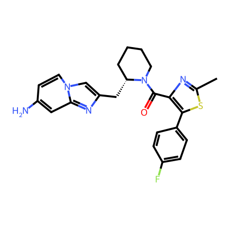 Cc1nc(C(=O)N2CCCC[C@H]2Cc2cn3ccc(N)cc3n2)c(-c2ccc(F)cc2)s1